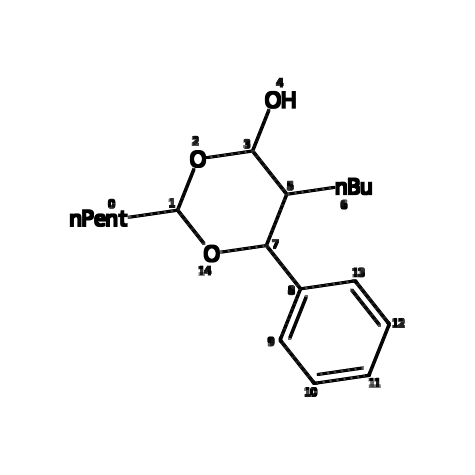 CCCCCC1OC(O)C(CCCC)C(c2ccccc2)O1